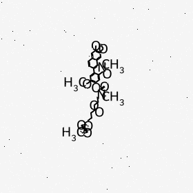 COc1cc2c(cc1OC(=O)N(C)CCOC(=O)CCCOS(C)(=O)=O)c(=O)n(C)c1c3cc4c(cc3ccc21)OCO4